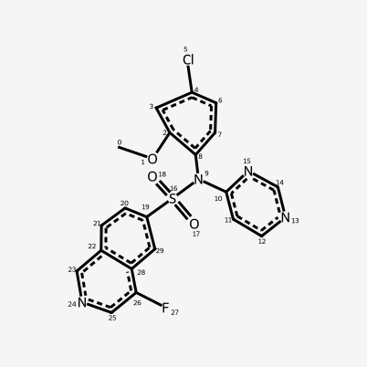 COc1cc(Cl)ccc1N(c1ccncn1)S(=O)(=O)c1ccc2cncc(F)c2c1